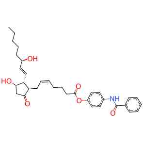 CCCCC[C@@H](O)/C=C/[C@H]1C(O)CC(=O)[C@@H]1C/C=C\CCCC(=O)Oc1ccc(NC(=O)c2ccccc2)cc1